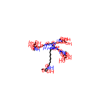 CCO[C@H]1C[C@H](O)[C@H](NC(=O)CCCCCCCCCCC(=O)NC(CCC(=O)NC(CCC(=O)NCCOCCOC2OC(CO)C(O)C(O)C2NC(C)=O)C(=O)NCCOCCOC2OC(CO)C(O)C(O)C2NC(C)=O)C(=O)NCCOCCOC2O[C@H](CO)C(O)C(O)C2NC(C)=O)C1